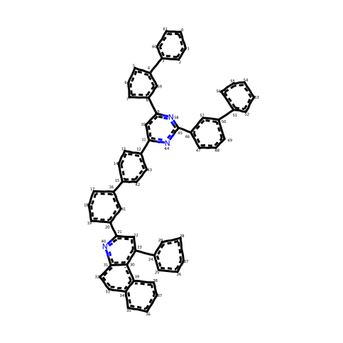 c1ccc(-c2cccc(-c3cc(-c4ccc(-c5cccc(-c6cc(-c7ccccc7)c7c(ccc8ccccc87)n6)c5)cc4)nc(-c4cccc(-c5ccccc5)c4)n3)c2)cc1